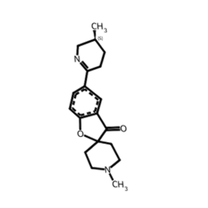 C[C@H]1CCC(c2ccc3c(c2)C(=O)C2(CCN(C)CC2)O3)=NC1